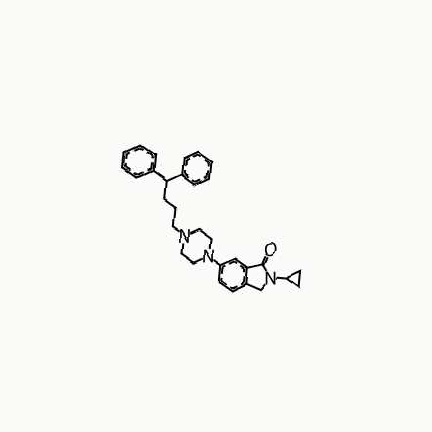 O=C1c2cc(N3CCN(CCCC(c4ccccc4)c4ccccc4)CC3)ccc2CN1C1CC1